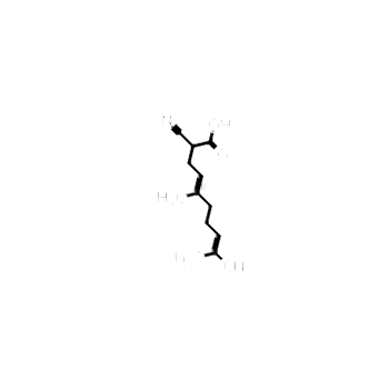 CC(C)=CCC/C(C)=C/CC(C#N)C(=O)O